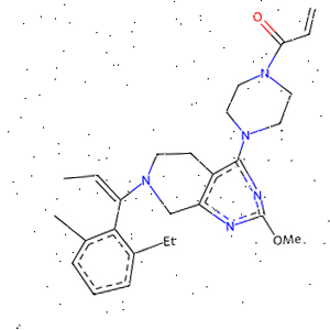 C=CC(=O)N1CCN(c2nc(OC)nc3c2CCN(/C(=C/C)c2c(C)cccc2CC)C3)CC1